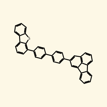 c1ccc2c(c1)-c1cccc3cc(-c4ccc(-c5ccc(-c6cccc7c6sc6ccccc67)cc5)cc4)cc-2c13